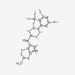 CN1CCc2c(C(=O)N3CCC(c4cc(F)cc(F)c4C(F)(F)F)CC3)n[nH]c2C1